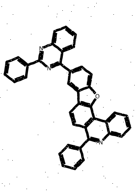 c1ccc(-c2nc(-c3ccc4oc5c(ccc6c(-c7ccccc7)nc7ccccc7c65)c4c3)c3ccccc3n2)cc1